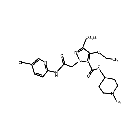 CCOC(=O)c1nn(CC(=O)Nc2ccc(Cl)cn2)c(C(=O)NC2CCN(C(C)C)CC2)c1OCC(F)(F)F